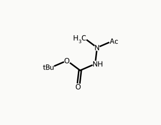 CC(=O)N(C)NC(=O)OC(C)(C)C